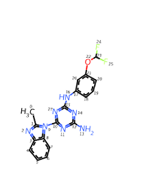 Cc1nc2ccccc2n1-c1nc(N)nc(Nc2cccc(OC(F)F)c2)n1